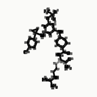 [2H]C([2H])(Oc1nc(Nc2ccc(C(=O)N[C@@H](CCCNC(=N)N)C(N)=O)cc2)nc(NC2(c3ccc(Cl)cc3)CC2)n1)C(F)(F)F